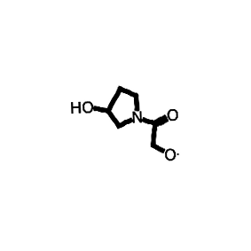 [O]CC(=O)N1CCC(O)C1